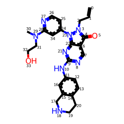 C=CCn1c(=O)c2cnc(Nc3ccc4c(c3)CNCC4)nc2n1-c1ccnc(N(C)CCO)c1